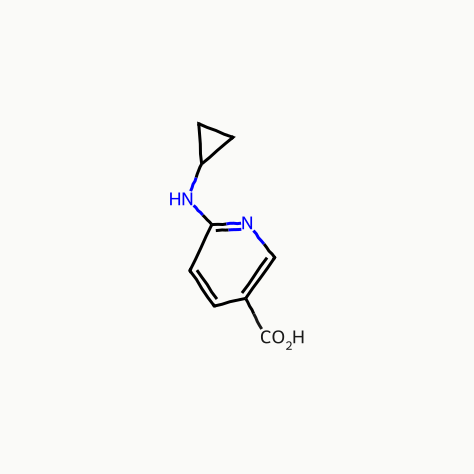 O=C(O)c1ccc(NC2CC2)nc1